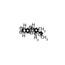 Cc1ccc(-c2c(C)cc(NS(=O)(=O)c3cc4[nH]c(=O)c(=O)[nH]c4cc3C)cc2C)o1